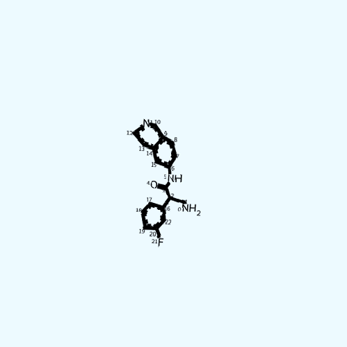 NCC(C(=O)Nc1ccc2cnccc2c1)c1cccc(F)c1